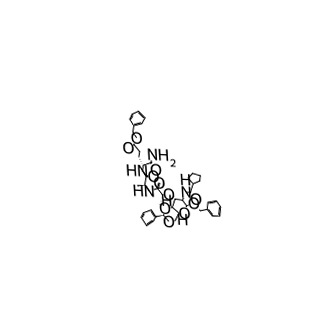 C[C@H](NC(=O)[C@@H](C)O[C@H]1[C@@H]2O[C@H](c3ccccc3)OC[C@H]2OC(OCc2ccccc2)[C@@H]1NC(=O)C1CCCC1)C(=O)N[C@H](CCC(=O)OCc1ccccc1)C(N)=O